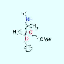 C=C/C(OCc1ccccc1)=C(\C=C(/C)CNC1CC1)OCCCOC